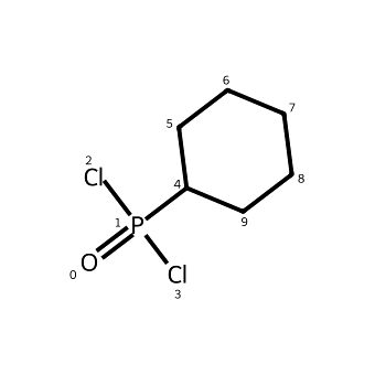 O=P(Cl)(Cl)C1CCCCC1